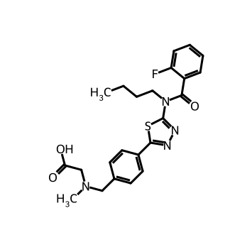 CCCCN(C(=O)c1ccccc1F)c1nnc(-c2ccc(CN(C)CC(=O)O)cc2)s1